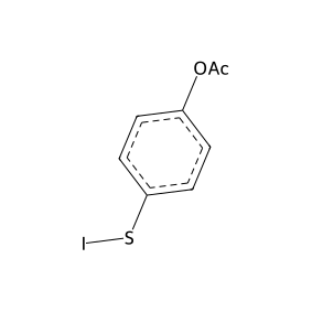 CC(=O)Oc1ccc(SI)cc1